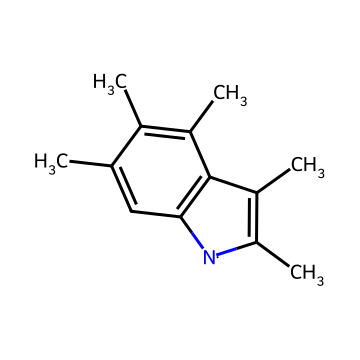 CC1=C(C)c2c(cc(C)c(C)c2C)[N]1